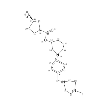 CN1CCN(Cc2ccc(N3CCCC(OC(=O)N4CC[C@@H](N)C4)C3)cc2)CC1